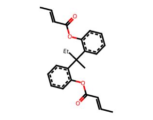 CC=CC(=O)Oc1ccccc1C(C)(CC)c1ccccc1OC(=O)C=CC